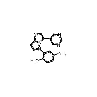 Cc1ccc(N)cc1-n1ccc2ncc(-c3cncnc3)n21